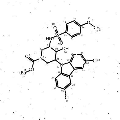 CC(C)(C)OC(=O)N1CC(NS(=O)(=O)c2ccc(OC(F)(F)F)cc2)C(O)C(n2c3ccc(Cl)cc3c3cc(Cl)ccc32)C1